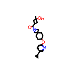 CC1(O)CC(C(=O)N2CC3(CCC(Oc4ccc(C5CC5)cn4)CC3)C2)C1